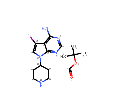 CC(C)(C)OC=O.Nc1ncnc2c1c(I)cn2C1CCNCC1